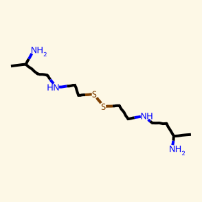 CC(N)CCNCCSSCCNCCC(C)N